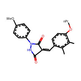 CCCOc1ccc(/C=C2/C(=O)NN(c3ccc(OC)cc3)C2=O)c(C)c1C